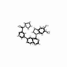 O=C(c1cncc(-c2ccc3ncnc(N4CCc5cc(F)c(Cl)cc54)c3c2)c1)N1CCCC1